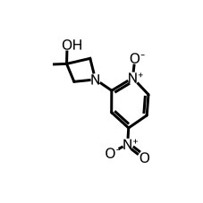 CC1(O)CN(c2cc([N+](=O)[O-])cc[n+]2[O-])C1